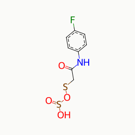 O=C(CSOS(=O)O)Nc1ccc(F)cc1